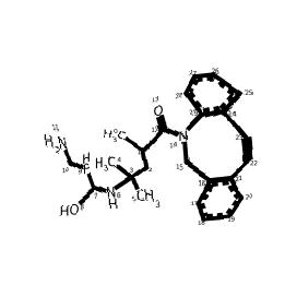 CC(CC(C)(C)NC(O)PCN)C(=O)N1Cc2ccccc2C#Cc2ccccc21